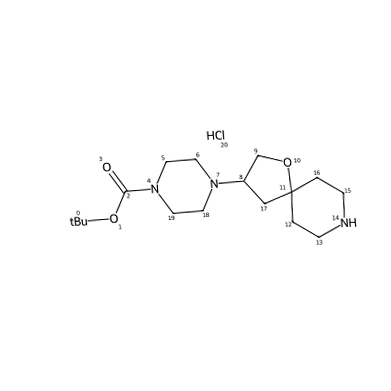 CC(C)(C)OC(=O)N1CCN(C2COC3(CCNCC3)C2)CC1.Cl